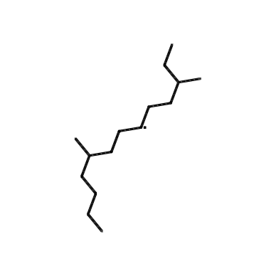 CCCCC(C)CC[CH]CCC(C)CC